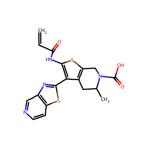 C=CC(=O)Nc1sc2c(c1-c1nc3cnccc3s1)CC(C)N(C(=O)O)C2